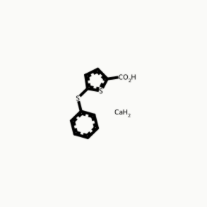 O=C(O)c1ccc(Sc2ccccc2)s1.[CaH2]